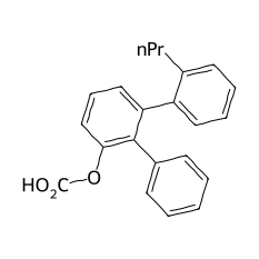 CCCc1ccccc1-c1cccc(OC(=O)O)c1-c1ccccc1